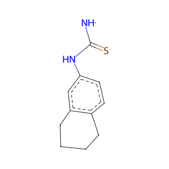 [NH]C(=S)Nc1ccc2c(c1)CCCC2